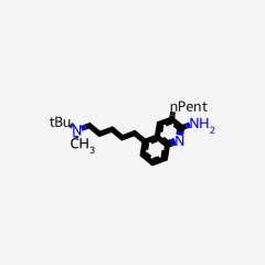 CCCCCc1cc2c(CCCCCN(C)C(C)(C)C)cccc2nc1N